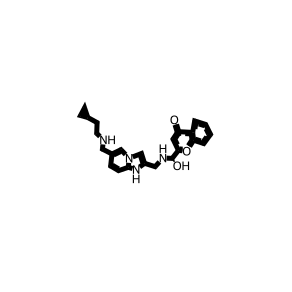 O=c1cc([C@H](O)NCC2=CN3C=C(CNCCC4CC4)C=CC3N2)oc2ccccc12